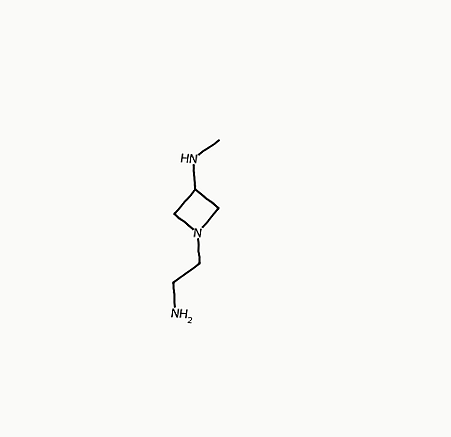 CNC1CN(CCN)C1